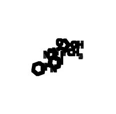 CC1(F)C(O)COC1n1cnc2c(N3CCCCC3)ncnc21